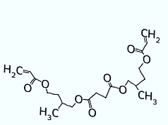 C=CC(=O)OCCC(C)COC(=O)CCC(=O)OCC(C)CCOC(=O)C=C